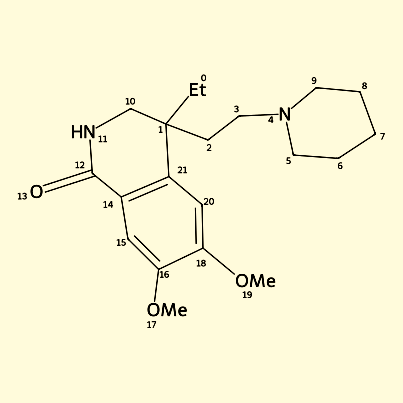 CCC1(CCN2CCCCC2)CNC(=O)c2cc(OC)c(OC)cc21